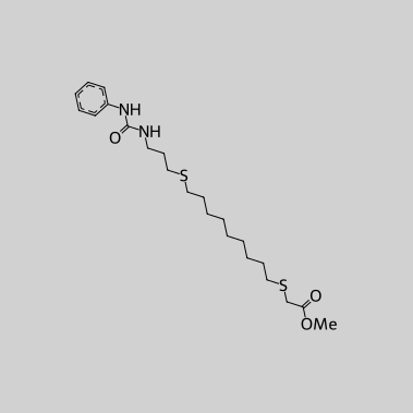 COC(=O)CSCCCCCCCCCSCCCNC(=O)Nc1ccccc1